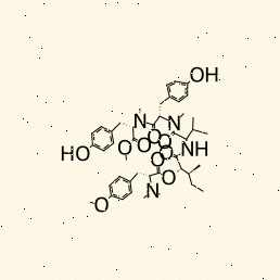 CC[C@H](C)[C@H](OC(=O)[C@@H](Cc1ccc(OC)cc1)N(C)C)C(=O)N[C@@H](C(=O)N(C)[C@@H](Cc1ccc(O)cc1)C(=O)N(C)[C@@H](Cc1ccc(O)cc1)C(=O)OC)C(C)C